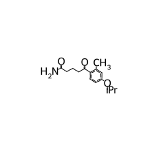 Cc1cc(OC(C)C)ccc1C(=O)CCCC(N)=O